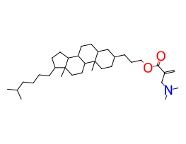 C=C(CN(C)C)C(=O)OCCCC1CCC2(C)C(CCC3C4CCC(CCCCC(C)C)C4(C)CCC32)C1